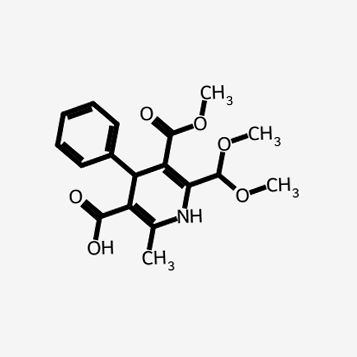 COC(=O)C1=C(C(OC)OC)NC(C)=C(C(=O)O)C1c1ccccc1